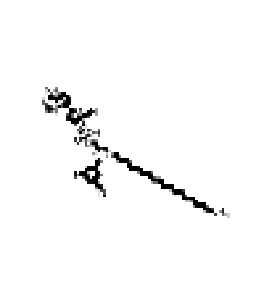 CCCCCCCCCCCCCCCCCCCOC[C@H](COP(=O)(O)OC[C@]1(C#N)CC[C@H](c2ccc3c(N)ncnn23)O1)OCc1cc(F)cc(C#N)c1